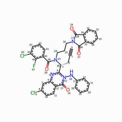 C#CC[C@H](c1nc2cc(Cl)ccc2c(=O)n1Nc1ccccc1)N(CCCN1C(=O)c2ccccc2C1=O)C(=O)c1cccc(Cl)c1F